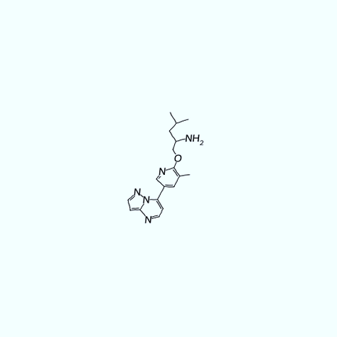 Cc1cc(-c2ccnc3ccnn23)cnc1OCC(N)CC(C)C